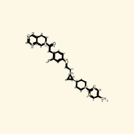 Cc1cnc(N2CCC([C@H]3C[C@H]3CCOc3ccc(CC(=O)N4CCc5cncnc5C4)c(F)c3)CC2)nc1